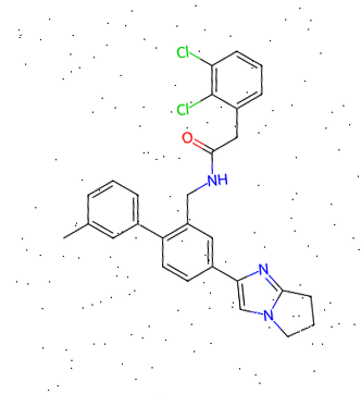 Cc1cccc(-c2ccc(-c3cn4c(n3)CCC4)cc2CNC(=O)Cc2cccc(Cl)c2Cl)c1